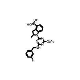 COc1nc(NCc2cccc(F)c2)nc(N2c3cccc(B(O)O)c3CC2C)n1